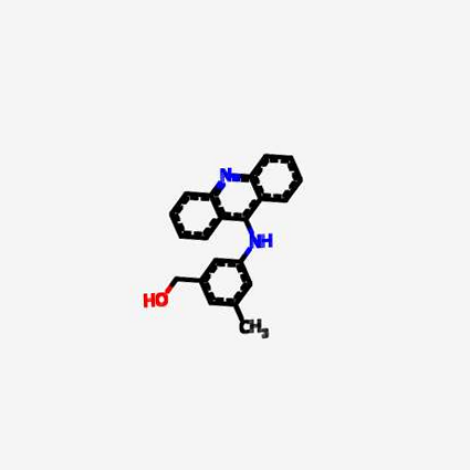 Cc1cc(CO)cc(Nc2c3ccccc3nc3ccccc23)c1